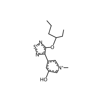 CCCC(CC)Oc1nsnc1-c1cc(O)c[n+](C)c1